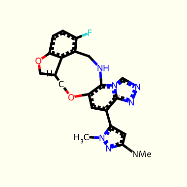 CNc1cc(-c2cc3c(n4cnnc24)NCc2c(F)ccc4c2[C@H](CO4)CO3)n(C)n1